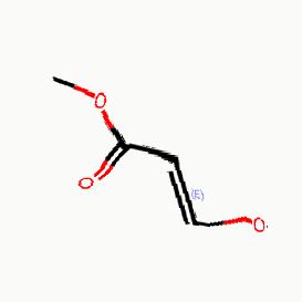 COC(=O)/C=C/[O]